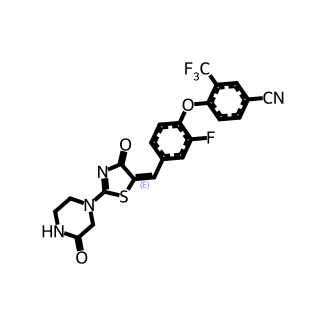 N#Cc1ccc(Oc2ccc(/C=C3/SC(N4CCNC(=O)C4)=NC3=O)cc2F)c(C(F)(F)F)c1